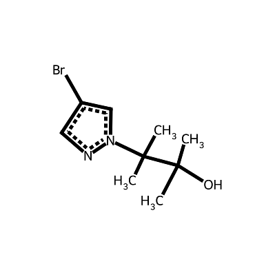 CC(C)(O)C(C)(C)n1cc(Br)cn1